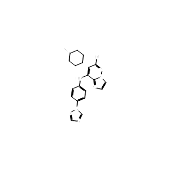 C[C@H]1CC[C@H](c2c(N)nn3ccnc3c2Nc2ccc(-n3cncn3)cc2)CC1